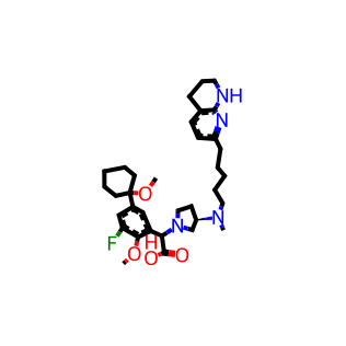 COc1c(F)cc(C2(OC)CCCCC2)cc1C(C(=O)O)N1CC[C@@H](N(C)CCCCCc2ccc3c(n2)NCCC3)C1